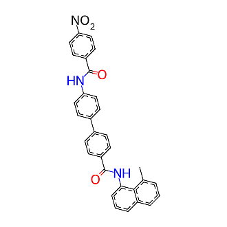 Cc1cccc2cccc(NC(=O)c3ccc(-c4ccc(NC(=O)c5ccc([N+](=O)[O-])cc5)cc4)cc3)c12